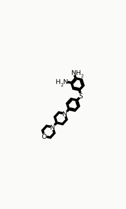 Nc1ccc(Sc2ccc(N3CCC(N4CCOCC4)CC3)cc2)cc1N